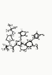 [2H]C([2H])([2H])O[C@@H]1CC[C@H](N(C(=O)c2nn(-c3ccsc3)c3c2COc2cc(OC)c(-c4ccn(C)c4)cc2-3)C([2H])([2H])[2H])C1